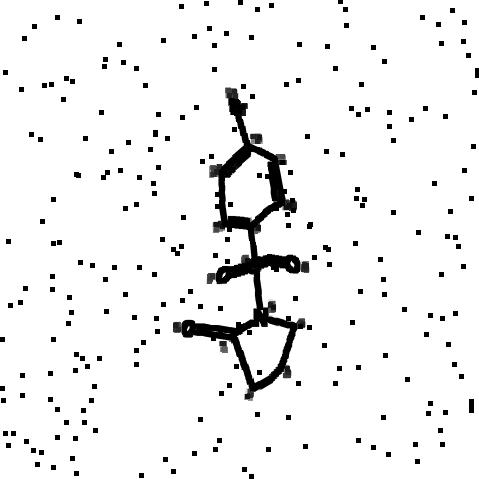 O=C1CCCN1S(=O)(=O)c1ccc(Br)cc1